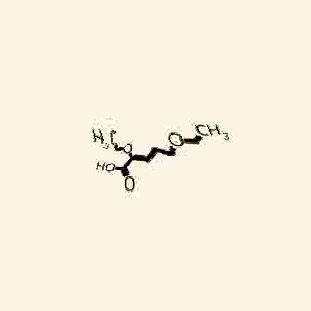 CCOCCC=C(OCC)C(=O)O